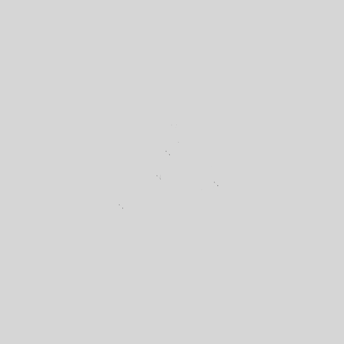 CN(C)C1CCN(c2cc3c([N+](=O)[O-])cccc3c(=O)[nH]2)CC1